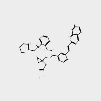 COC(=O)CC1(CS[C@H](CCc2ccccc2C(C)(C)CC2CCCCO2)c2cccc(/C=C/c3ccc4ccc(Cl)cc4n3)c2)CC1